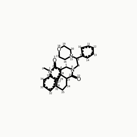 Cn1c(=O)c(CN(CC(c2ccccc2)N2CCOCC2)C(=O)C2CCCCC2)cc2ccccc21